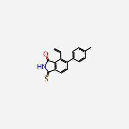 C=Cc1c(-c2ccc(C)cc2)ccc2c1C(=O)NC2=S